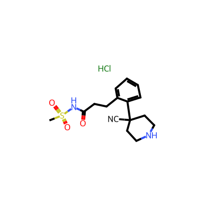 CS(=O)(=O)NC(=O)CCc1ccccc1C1(C#N)CCNCC1.Cl